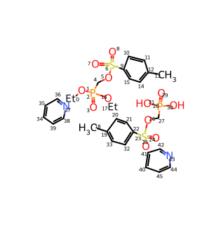 CCOP(=O)(COS(=O)(=O)c1ccc(C)cc1)OCC.Cc1ccc(S(=O)(=O)OCP(=O)(O)O)cc1.c1ccncc1.c1ccncc1